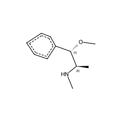 CN[C@H](C)[C@@H](OC)c1ccccc1